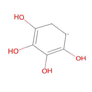 OC1=C(O)C(O)=C(O)C[CH]1